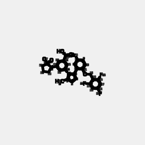 Cc1ccc(-c2cc(Br)ccc2OCc2c(F)cc(F)cc2F)n1-c1cc(C(=O)O)cc(N2CCCS2(=O)=O)c1